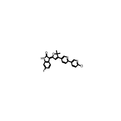 CC1(C)OC(=C2C(=O)Nc3cc(F)ccc32)C=C1c1ccc(-c2ccc(Cl)nc2)nc1